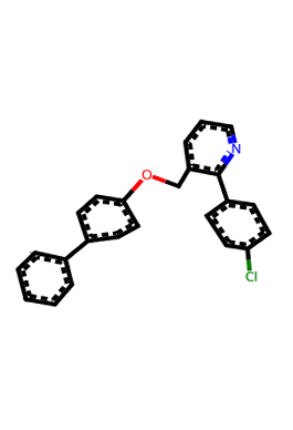 Clc1ccc(-c2ncccc2COc2ccc(-c3[c]cccc3)cc2)cc1